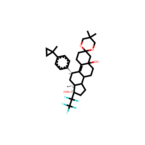 CC1(C)COC2(CCC3=C4C(CCC3(O)C2)C2CC[C@@](O)(C(F)(F)C(F)(F)F)[C@@]2(C)C[C@@H]4c2ccc(C3(C)CC3)cc2)OC1